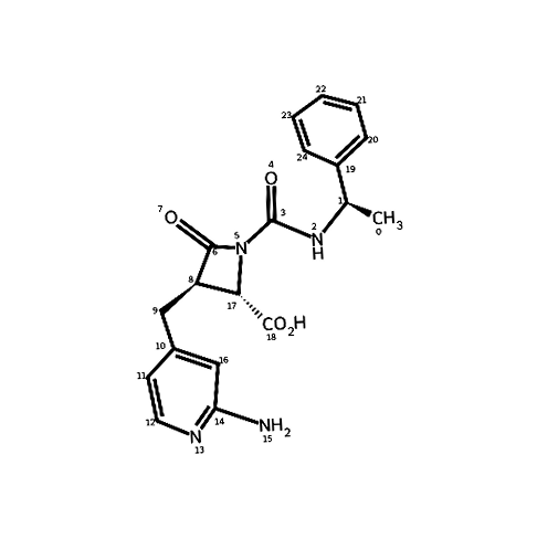 C[C@@H](NC(=O)N1C(=O)[C@H](Cc2ccnc(N)c2)[C@H]1C(=O)O)c1ccccc1